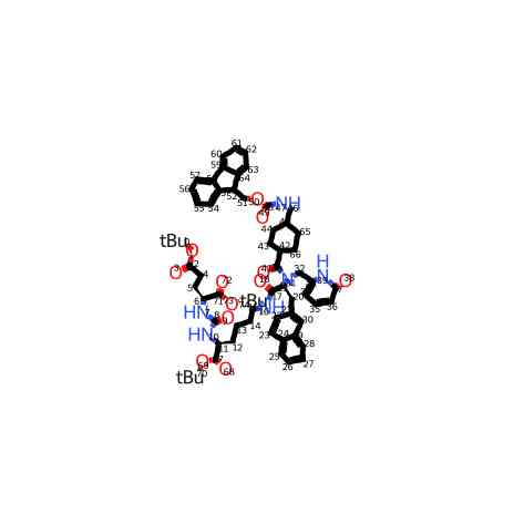 CC(C)(C)OC(=O)CC[C@H](NC(=O)N[C@@H](CCCCNC(=O)[C@H](Cc1ccc2ccccc2c1)N(Cc1cccc(=O)[nH]1)C(=O)C1CCC(CNC(=O)OCC2c3ccccc3-c3ccccc32)CC1)C(=O)OC(C)(C)C)C(=O)OC(C)(C)C